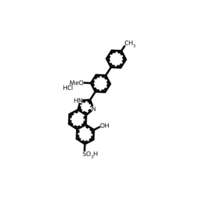 COc1cc(-c2ccc(C)cc2)ccc1-c1nc2c(ccc3cc(S(=O)(=O)O)cc(O)c32)[nH]1.Cl